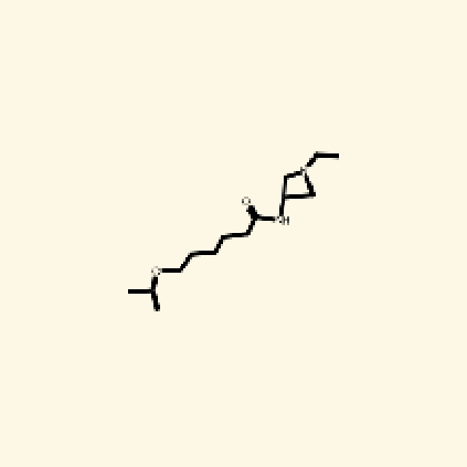 CCN1CC(NC(=O)CCCCCOC(C)C)C1